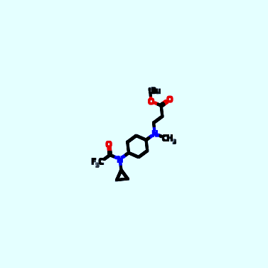 CN(CCC(=O)OC(C)(C)C)C1CCC(N(C(=O)C(F)(F)F)C2CC2)CC1